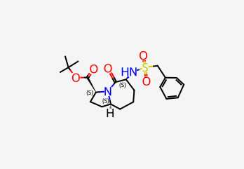 CC(C)(C)OC(=O)[C@@H]1CC[C@@H]2CCC[C@H](NS(=O)(=O)Cc3ccccc3)C(=O)N21